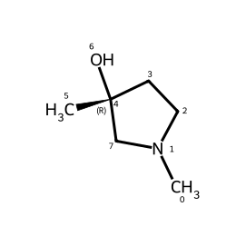 CN1CC[C@@](C)(O)C1